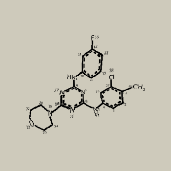 Cc1ccc(Nc2nc(Nc3cccc(F)c3)nc(N3CCOCC3)n2)cc1Cl